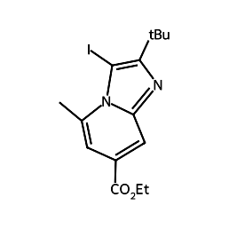 CCOC(=O)c1cc(C)n2c(I)c(C(C)(C)C)nc2c1